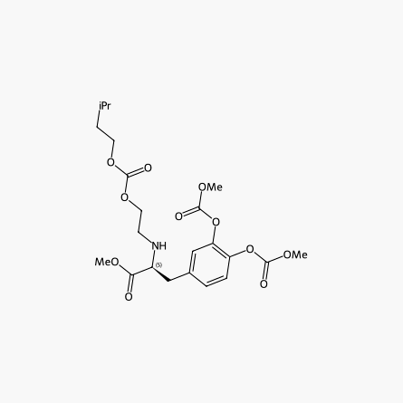 COC(=O)Oc1ccc(C[C@H](NCCOC(=O)OCCC(C)C)C(=O)OC)cc1OC(=O)OC